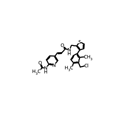 CC(=O)Nc1ccc(C=CC(=O)NCc2sccc2-c2ccc(C)c(CCl)c2C)cn1